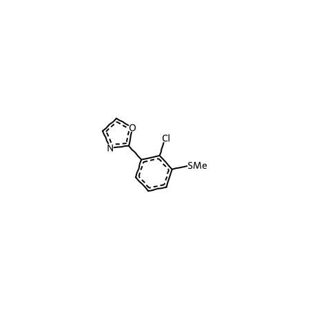 CSc1cccc(-c2ncco2)c1Cl